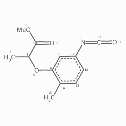 COC(=O)C(C)Oc1cc(N=C=O)ccc1C